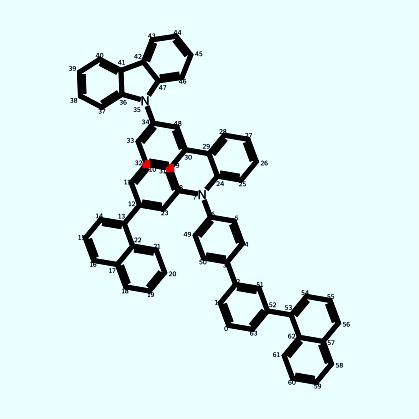 c1cc(-c2ccc(N(c3cccc(-c4cccc5ccccc45)c3)c3ccccc3-c3cccc(-n4c5ccccc5c5ccccc54)c3)cc2)cc(-c2cccc3ccccc23)c1